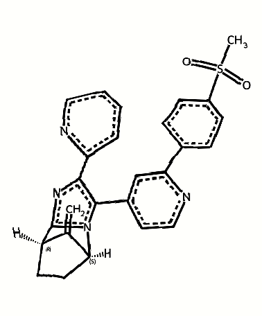 C=C1[C@H]2CC[C@@H]1n1c2nc(-c2ccccn2)c1-c1ccnc(-c2ccc(S(C)(=O)=O)cc2)c1